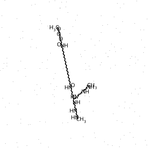 CNCCCNCCCCNCC(CCCCCCNC(=O)CCCCCCCCCCCCCCCCCCCCCCCNC(=O)CCOCCOCCOC)CNCCCCNCCCNC